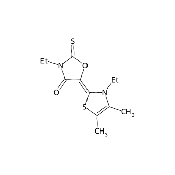 CCN1C(=O)/C(=C2\SC(C)=C(C)N2CC)OC1=S